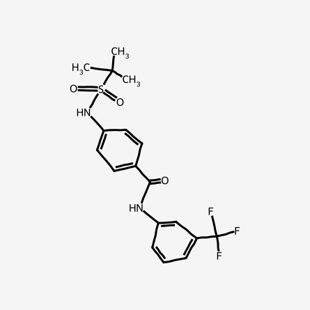 CC(C)(C)S(=O)(=O)Nc1ccc(C(=O)Nc2cccc(C(F)(F)F)c2)cc1